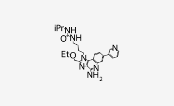 CCOCc1nc2c(N)nc3cc(-c4cccnc4)ccc3c2n1CCCCNC(=O)NC(C)C